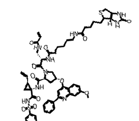 C=CC(=O)NC[C@H](NC(=O)CCCCCNC(=O)CCCCC1SCC2NC(=O)N[C@@H]21)C(=O)N1C[C@H](Oc2cc(-c3ccccc3)nc3cc(OC)ccc23)C[C@H]1C(=O)N[C@]1(C(=O)NS(=O)(=O)c2ccccc2)C[C@H]1C=C